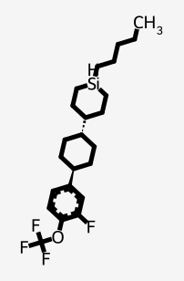 CCCCC[SiH]1CCC([C@H]2CC[C@H](c3ccc(OC(F)(F)F)c(F)c3)CC2)CC1